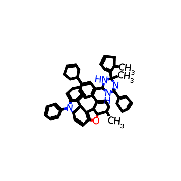 CC1CC=CC=C1C1(C)N=C(C2=CC=CCC2)NC(c2cc(C3CC=CCC3)ccc2C2=CCC(C)C3OC4=C(C23)C2C3=CCCC=C3N(c3ccccc3)C2C=C4)N1